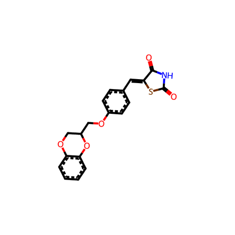 O=C1NC(=O)/C(=C/c2ccc(OCC3COc4ccccc4O3)cc2)S1